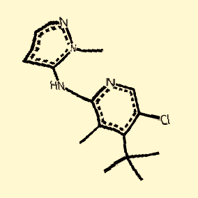 Cc1c(Nc2ccnn2C)ncc(Cl)c1C(C)(C)C